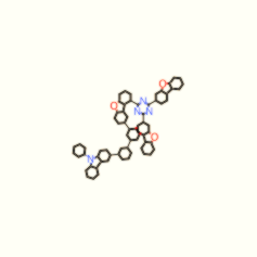 c1ccc(-n2c3ccccc3c3cc(-c4cccc(-c5cccc(-c6ccc7oc8cccc(-c9nc(-c%10ccc%11c(c%10)oc%10ccccc%10%11)nc(-c%10ccc%11c(c%10)oc%10ccccc%10%11)n9)c8c7c6)c5)c4)ccc32)cc1